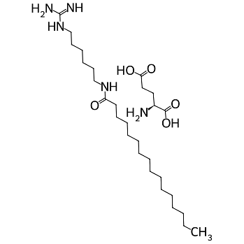 CCCCCCCCCCCCCCCC(=O)NCCCCCCNC(=N)N.N[C@@H](CCC(=O)O)C(=O)O